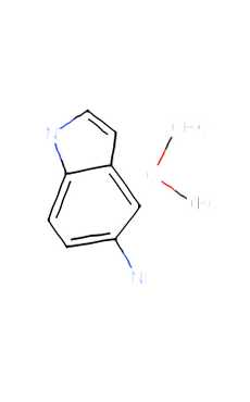 CC(C)(C)OC=O.Nc1ccc2[nH]ccc2c1